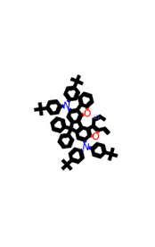 C=Cc1oc2c(N(c3ccc(C(C)(C)C)cc3)c3ccc(C(C)(C)C)cc3)cc3c(c2c1/C=C\C)-c1c(cc(N(c2ccc(C(C)(C)C)cc2)c2ccc(C(C)(C)C)cc2)c2c1oc1ccccc12)C3(c1ccccc1)c1ccccc1